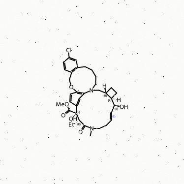 CC[C@H]1C(=O)N(C)CC/C=C/[C@H](O)[C@@H]2CC[C@H]2CN2CCCCc3cc(Cl)ccc3COc3ccc(cc32)[C@]1(O)C(=O)OC